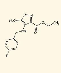 CCOC(=O)c1nsc(C)c1NCc1ccc(F)cc1